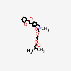 CC(C)CC(=O)OCCCOCC(=O)N(C)Cc1ccc(CC(=O)C2CCCCC2=O)cc1